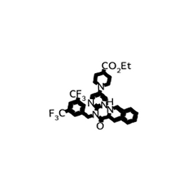 CCOC(=O)C1CCN(c2cnc(N(Cc3cc(C(F)(F)F)cc(C(F)(F)F)c3)C(=O)C3C=c4ccccc4=CN3)nc2)CC1